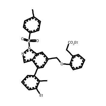 CCOC(=O)Cc1ccccc1OCc1cc(-c2cccc(CC)c2C)c2cnn(S(=O)(=O)c3ccc(C)cc3)c2c1